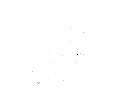 COc1cc(-c2ccc(Nc3nc(N4CCC[C@H]4C(N)=O)nc4ccccc34)nc2)cc(OC)c1OC